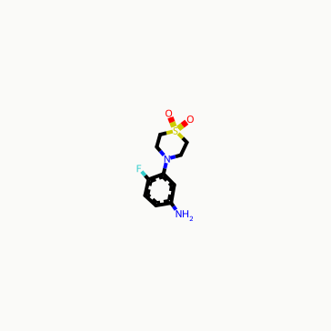 Nc1ccc(F)c(N2CCS(=O)(=O)CC2)c1